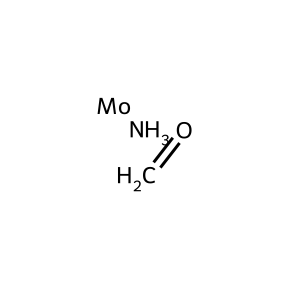 C=O.N.[Mo]